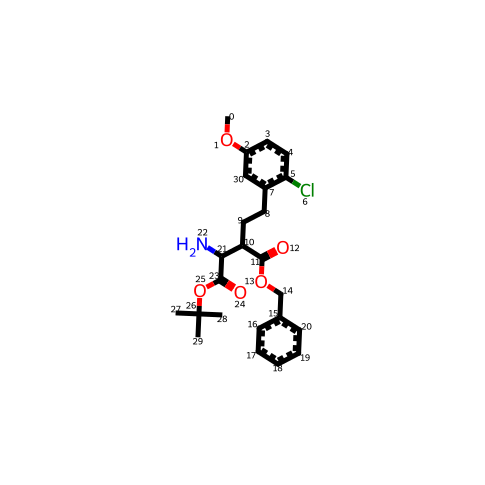 COc1ccc(Cl)c(CCC(C(=O)OCc2ccccc2)C(N)C(=O)OC(C)(C)C)c1